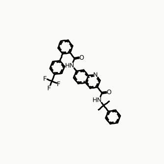 CC(C)(NC(=O)c1cnc2cc(NC(=O)c3ccccc3-c3ccc(C(F)(F)F)cc3)ccc2c1)c1ccccc1